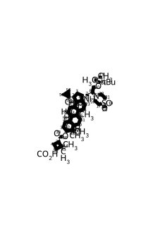 CC1([C@@H]2CC[C@]3(NC[C@H](CO[Si](C)(C)C(C)(C)C)N4CCS(=O)(=O)CC4)CC[C@]4(C)[C@H](CC[C@@H]5[C@@]6(C)CC[C@H](OC(=O)[C@H]7C[C@@H](C(=O)O)C7(C)C)C(C)(C)[C@@H]6CC[C@]54C)[C@@H]23)CC1